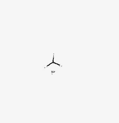 IC(I)I.[Na]